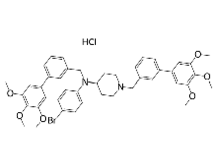 COc1cc(-c2cccc(CN3CCC(N(Cc4cccc(-c5cc(OC)c(OC)c(OC)c5)c4)c4ccc(Br)cc4)CC3)c2)cc(OC)c1OC.Cl